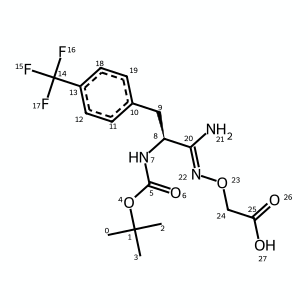 CC(C)(C)OC(=O)N[C@@H](Cc1ccc(C(F)(F)F)cc1)/C(N)=N/OCC(=O)O